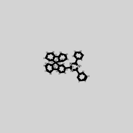 c1ccc(-c2nc(-c3ccccc3)nc(-c3ccc4c(c3)C3(c5ccccc5-c5ccccc53)c3ccccc3-4)n2)cc#1